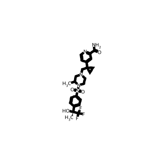 CC1CN(CC2(c3ccnc(C(N)=O)c3)CC2)CCN1S(=O)(=O)c1ccc([C@](C)(O)C(F)(F)F)cc1